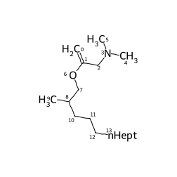 C=C(CN(C)C)OCC(C)CCCCCCCCCC